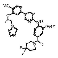 COc1cc(C(=O)N2CCC(F)(F)CC2)ccc1Nc1ncc(-c2ccc(C#N)c(OC(C)Cn3cnnn3)c2)cn1